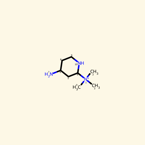 C[N+](C)(C)C1CC(N)CCN1